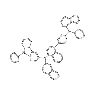 C1=CC2c3cc(N(c4ccc5ccccc5c4)c4ccc(-c5ccc(N(c6ccccc6)c6cccc7ccccc67)cc5)c5ccccc45)ccc3N(c3ccccc3)C2C=C1